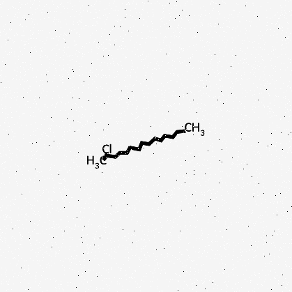 CCCCCCCCCCCCCCC(C)Cl